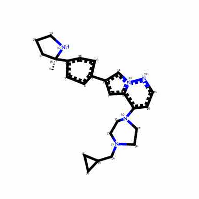 C[C@]1(c2ccc(-c3cc4c(N5CCN(CC6CC6)CC5)ccnn4c3)cc2)CCCN1